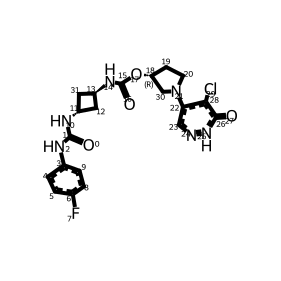 O=C(Nc1ccc(F)cc1)N[C@H]1C[C@H](NC(=O)O[C@@H]2CCN(c3cn[nH]c(=O)c3Cl)C2)C1